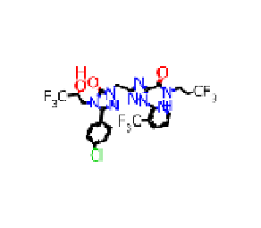 O=C(NCCC(F)(F)F)c1nc(Cn2nc(-c3ccc(Cl)cc3)n(CC(O)C(F)(F)F)c2=O)nn1-c1ncccc1C(F)(F)F